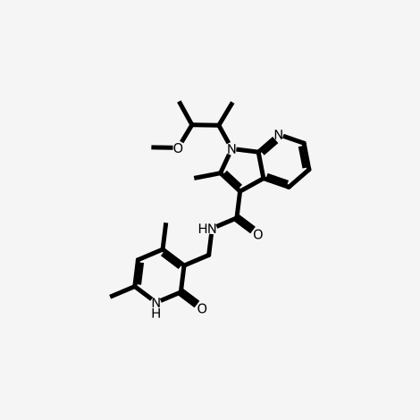 COC(C)C(C)n1c(C)c(C(=O)NCc2c(C)cc(C)[nH]c2=O)c2cccnc21